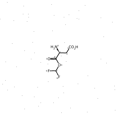 N[C@@H](CC(=O)O)C(=O)OC(F)F